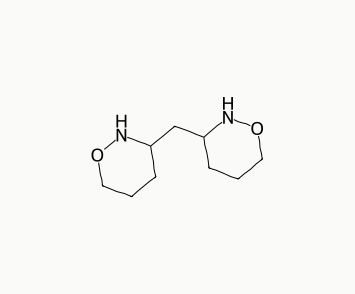 C1CONC(CC2CCCON2)C1